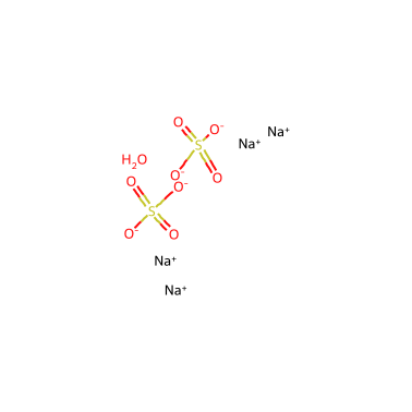 O.O=S(=O)([O-])[O-].O=S(=O)([O-])[O-].[Na+].[Na+].[Na+].[Na+]